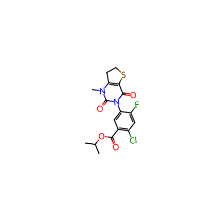 CC(C)OC(=O)c1cc(-n2c(=O)c3c(n(C)c2=O)CCS3)c(F)cc1Cl